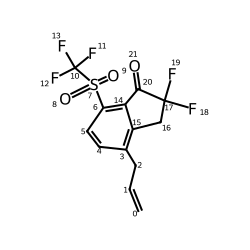 C=CCc1ccc(S(=O)(=O)C(F)(F)F)c2c1CC(F)(F)C2=O